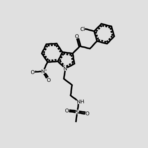 CS(=O)(=O)NCCCn1cc(C(=O)Cc2ccccc2Cl)c2cccc([N+](=O)[O-])c21